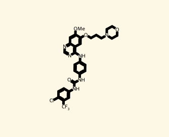 COc1cc2ncnc(Nc3ccc(NC(=O)Nc4ccc(Cl)c(C(F)(F)F)c4)cc3)c2cc1OCCCN1CCOCC1